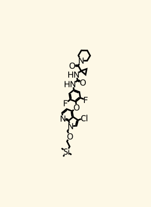 C[Si](C)(C)CCOCn1cc(Cl)c2c(Oc3c(F)cc(NC(=O)NC4(C(=O)N5CCCCC5)CC4)cc3F)ccnc21